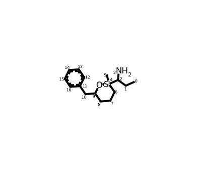 CCC(N)[Si]1(C)CCCC(Cc2ccccc2)O1